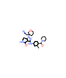 Cc1cc(Nc2nn(C3(CC#N)CCCOC3)c3cc[nH]c(=O)c23)ccc1C(=O)N1CCCCC1